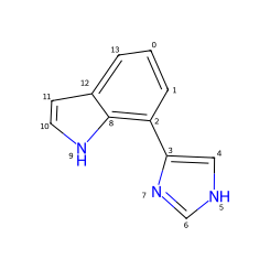 c1cc(-c2c[nH]cn2)c2[nH]ccc2c1